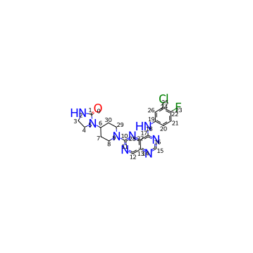 O=C1NCCN1C1CCN(c2ncc3ncnc(Nc4ccc(F)c(Cl)c4)c3n2)CC1